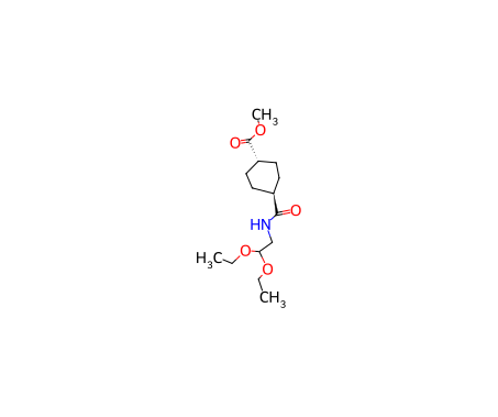 CCOC(CNC(=O)[C@H]1CC[C@H](C(=O)OC)CC1)OCC